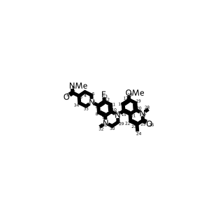 CNC(=O)C1CCN(c2cc3c(cc2F)N(c2cc(OC)cc4c2cc(C)c(=O)n4C)CCN3C)CC1